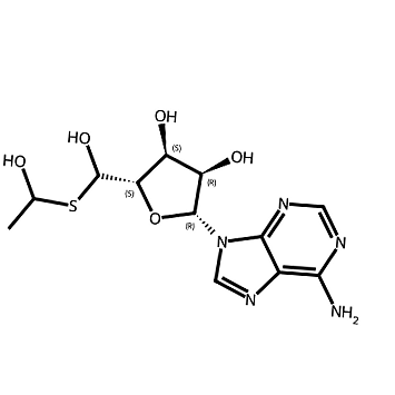 CC(O)SC(O)[C@H]1O[C@@H](n2cnc3c(N)ncnc32)[C@H](O)[C@@H]1O